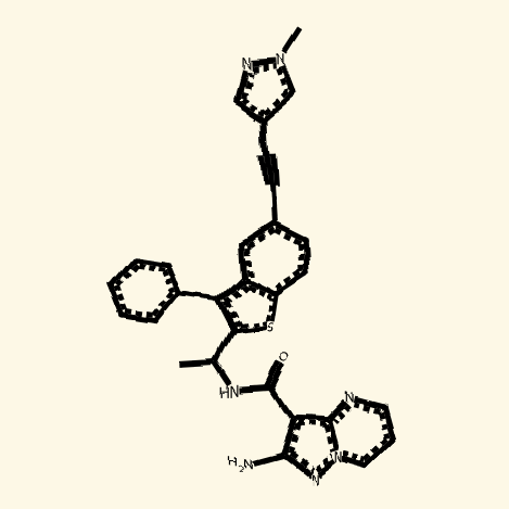 CC(NC(=O)c1c(N)nn2cccnc12)c1sc2ccc(C#Cc3cnn(C)c3)cc2c1-c1ccccc1